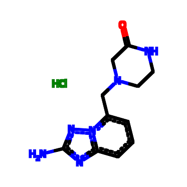 Cl.Nc1nc2cccc(CN3CCNC(=O)C3)n2n1